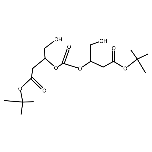 CC(C)(C)OC(=O)CC(CO)OC(=O)OC(CO)CC(=O)OC(C)(C)C